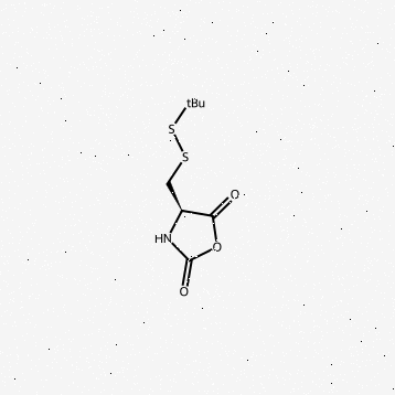 CC(C)(C)SSC[C@@H]1NC(=O)OC1=O